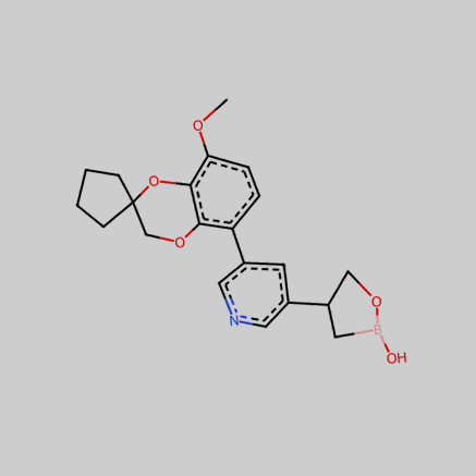 COc1ccc(-c2cncc(C3COB(O)C3)c2)c2c1OC1(CCCC1)CO2